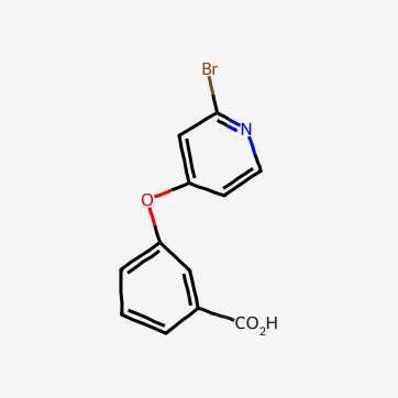 O=C(O)c1cccc(Oc2ccnc(Br)c2)c1